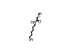 CC(C)CCCCCCNC(=O)COC(C)C